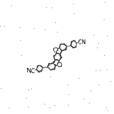 N#Cc1ccc(-c2ccc3oc4cc5c(cc4c3c2)oc2ccc(-c3ccc(C#N)cc3)cc25)cc1